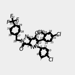 O=c1c2nn(-c3ccc(Cl)cc3)c(-c3ccc(Cl)cc3Cl)c(O)c-2nn1Cc1ccc(C(F)(F)F)cc1